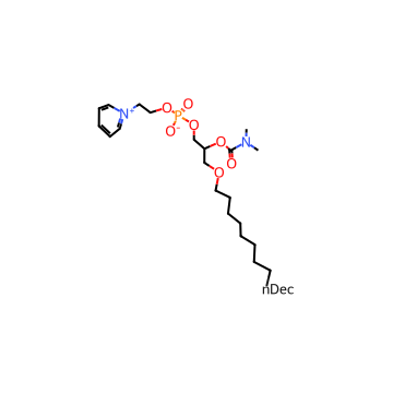 CCCCCCCCCCCCCCCCCCOCC(COP(=O)([O-])OCC[n+]1ccccc1)OC(=O)N(C)C